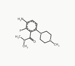 CN1CCN(c2ccc(N)c(F)c2C(=O)N(C)C)CC1